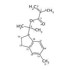 C=C(C)C(=O)OC(C)(C)C1CCc2cc(C)ccc21